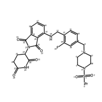 CC(C)S(=O)(=O)N1CCN(Cc2ccc(CNc3cccc4c3C(=O)N(C3CCC(=O)NC3=O)C4=O)c(F)c2)CC1